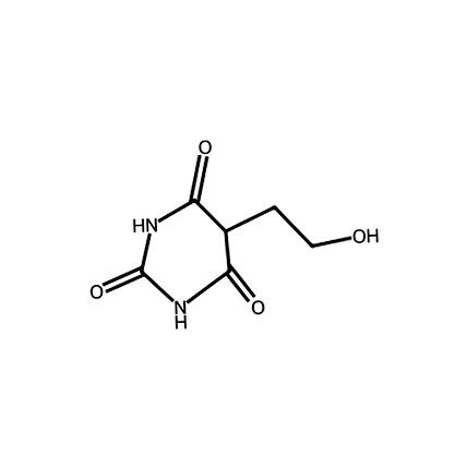 O=C1NC(=O)C(CCO)C(=O)N1